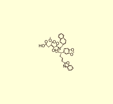 COC(=O)C(CC(=O)O)=C(O)C(=O)N(Cc1ccc2ccccc2c1)[C@H](C)[C@H](CC=Cc1nc2ccccc2o1)c1ccc2c(c1)OCO2